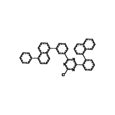 Clc1nc(-c2cccc(-c3cccc4c(-c5ccccc5)cccc34)c2)nc(-c2ccccc2-c2cccc3ccccc23)n1